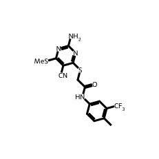 CSc1nc(N)nc(SCC(=O)Nc2ccc(C)c(C(F)(F)F)c2)c1C#N